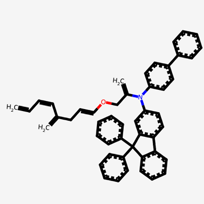 C=C/C=C\C(=C)C/C=C/OCC(=C)N(c1ccc(-c2ccccc2)cc1)c1ccc2c(c1)C(c1ccccc1)(c1ccccc1)c1ccccc1-2